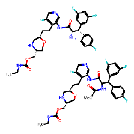 COC(=O)NC(C(=O)Nc1cncc(F)c1CC[C@@H]1CN[C@@H](COC(=O)NCC(F)(F)F)CO1)C(c1ccc(F)cc1)c1cc(F)cc(F)c1.N[C@H](C(=O)Nc1cncc(F)c1CC[C@@H]1CN[C@@H](COC(=O)NCC(F)(F)F)CO1)[C@@H](c1ccc(F)cc1)c1cc(F)cc(F)c1